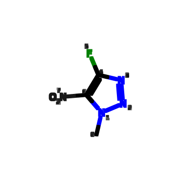 Cn1nnc(F)c1[N+](=O)[O-]